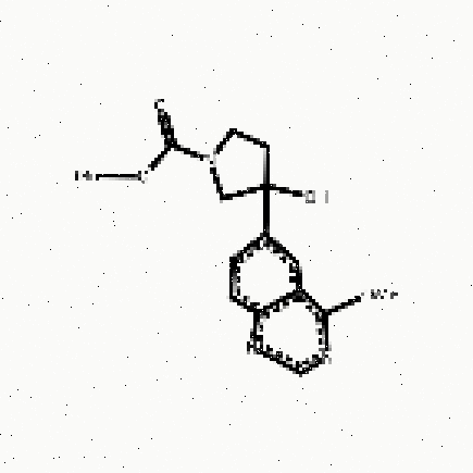 COc1ncnc2ccc(C3(O)CCN(C(=O)OC(C)(C)C)C3)cc12